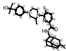 CC1CN(c2ccc(C(C)(C)O)cc2)CCN1c1nc(C(=O)NC2C3CC4CC2CC(O)(C4)C3)ccc1F